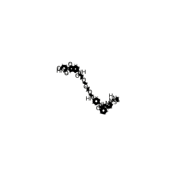 O=C1CCC(N2Cc3cc(NC(=O)CCOCCOCCOCCN[C@H]4CC[C@@H](NC(=O)C5(Cc6cccc(Nc7nccs7)n6)CCCCC5)CC4)ccc3C2=O)C(=O)N1